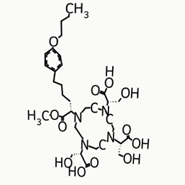 CCCCOc1ccc(CCCC[C@@H](C(=O)OC)N2CCN([C@@H](CO)C(=O)O)CCN([C@@H](CO)C(=O)O)CCN([C@@H](CO)C(=O)O)CC2)cc1